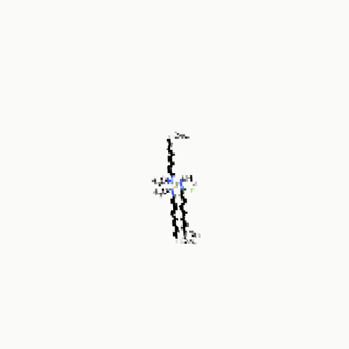 CCCCCCCCCCCCCCCCCCN(C)[S+](N(C)CCCCCCCCCCCCCCCCCC)N(C)CCCCCCCCCCCCCCCCCC.F.[F-]